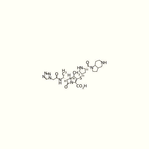 CC(NC(=O)Cn1cnnn1)[C@H]1C(=O)N2C(C(=O)O)=C(S[C@@H]3CN[C@H](C(=O)N4CCC5CNCCC54)C3)[C@H](C)[C@H]12